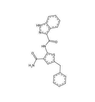 NC(=O)c1cc(Cc2ccccc2)sc1NC(=O)c1n[nH]c2ccccc12